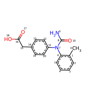 Cc1ccccc1N(C(N)=O)c1ccc(CC(=O)O)cc1